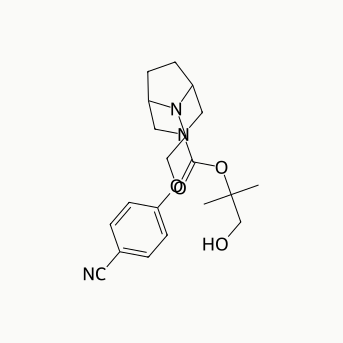 CC(C)(CO)OC(=O)N1CC2CCC(C1)N2CCOc1ccc(C#N)cc1